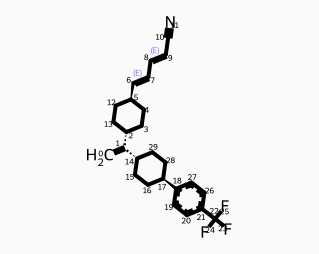 C=C([C@H]1CC[C@H](/C=C/C=C/C#N)CC1)[C@H]1CC[C@H](c2ccc(C(F)(F)F)cc2)CC1